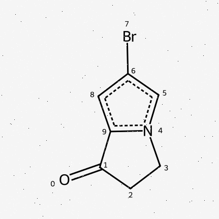 O=C1CCn2cc(Br)cc21